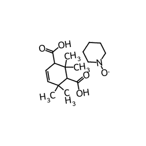 CC1(C)C=CC(C(=O)O)C(C)(C)C1C(=O)O.[O]N1CCCCC1